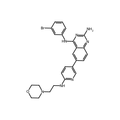 Nc1nc(Nc2cccc(Br)c2)c2cc(-c3ccc(NCCN4CCOCC4)nc3)ccc2n1